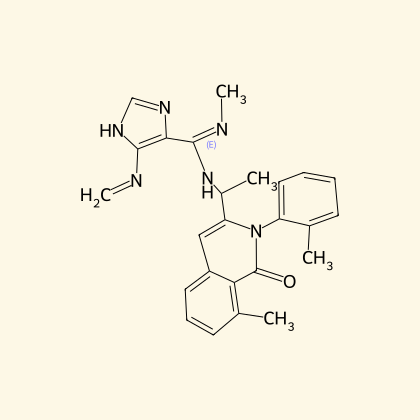 C=Nc1[nH]cnc1/C(=N\C)NC(C)c1cc2cccc(C)c2c(=O)n1-c1ccccc1C